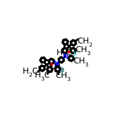 C=Cc1ccc(C2(c3cc(C)ccc3C)c3ccccc3-c3ccc(N(c4ccc(N(c5ccc(C)c(F)c5)c5ccc6c(c5)C(c5ccc(C=C)cc5)(c5cc(C)ccc5C)c5ccccc5-6)cc4)c4ccc(C)c(F)c4)cc32)cc1